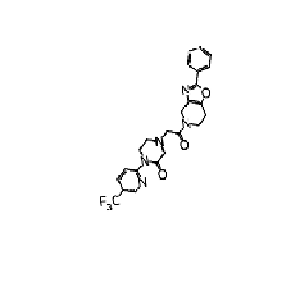 O=C(CN1CCN(c2ccc(C(F)(F)F)cn2)C(=O)C1)N1CCc2oc(-c3ccccc3)nc2C1